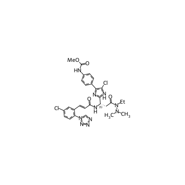 CCN(C(=O)C[C@H](NC(=O)C=Cc1cc(Cl)ccc1-n1cnnn1)c1nc(-c2ccc(NC(=O)OC)cc2)c(Cl)[nH]1)N(C)C